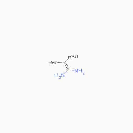 CCCCC(CCC)=C(N)N